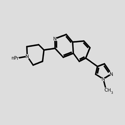 CCCN1CCC(c2cc3cc(-c4cnn(C)c4)ccc3cn2)CC1